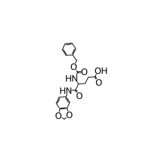 O=C(O)CCC(NC(=O)OCc1ccccc1)C(=O)Nc1ccc2c(c1)OCO2